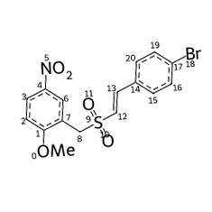 COc1ccc([N+](=O)[O-])cc1CS(=O)(=O)C=Cc1ccc(Br)cc1